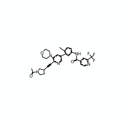 CC(=O)N1CCC(C#Cc2ncc(-c3cc(NC(=O)c4ccnc(C(F)(F)F)c4)ccc3C)cc2N2CCOCC2)C1